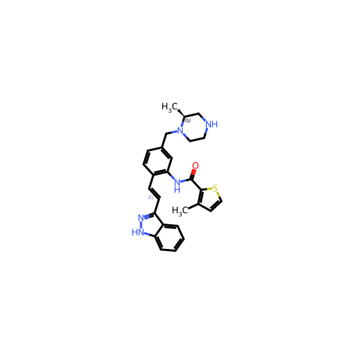 Cc1ccsc1C(=O)Nc1cc(CN2CCNC[C@@H]2C)ccc1/C=C/c1n[nH]c2ccccc12